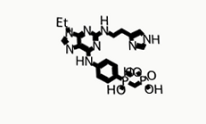 CCn1cnc2c(Nc3ccc(P(=O)(O)CP(=O)(O)O)cc3)nc(NCCc3c[nH]cn3)nc21